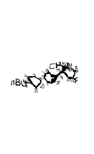 CCCC[C@H]1CC[C@H](c2ccc(-c3cc(F)c(F)nc3Cl)cc2)CC1